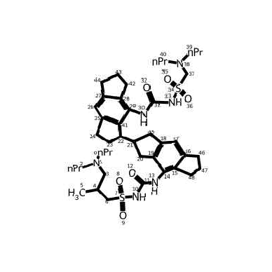 CCCN(CCC)CC(C)CS(=O)(=O)NC(=O)Nc1c2c(cc3c1CC(C1CCc4cc5c(c(NC(=O)NS(=O)(=O)CN(CCC)CCC)c41)CCC5)C3)CCC2